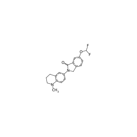 CN1CCCc2cc(N3Cc4ccc(OC(F)F)cc4C3=O)ccc21